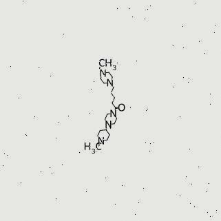 CCN1CCN(CCCCC(=O)N2CCN(C3CCN(C)CC3)CC2)CC1